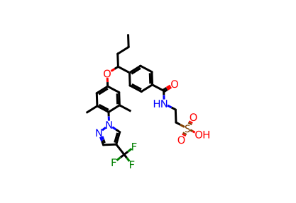 CCCC(Oc1cc(C)c(-n2cc(C(F)(F)F)cn2)c(C)c1)c1ccc(C(=O)NCCS(=O)(=O)O)cc1